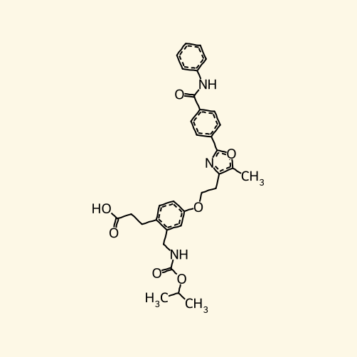 Cc1oc(-c2ccc(C(=O)Nc3ccccc3)cc2)nc1CCOc1ccc(CCC(=O)O)c(CNC(=O)OC(C)C)c1